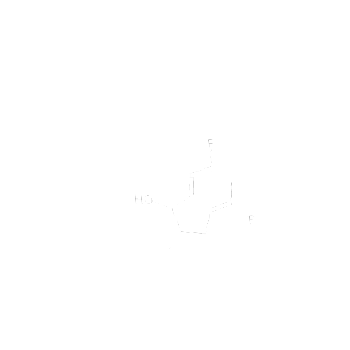 CC1Cc2c(F)cc(F)cc2C1O